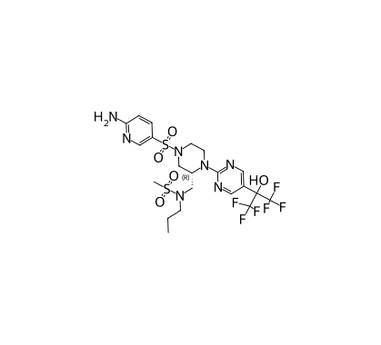 CCCN(C[C@@H]1CN(S(=O)(=O)c2ccc(N)nc2)CCN1c1ncc(C(O)(C(F)(F)F)C(F)(F)F)cn1)S(C)(=O)=O